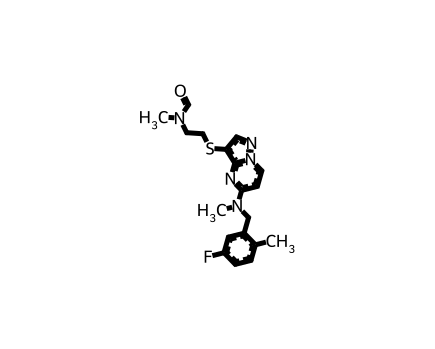 Cc1ccc(F)cc1CN(C)c1ccn2ncc(SCCN(C)C=O)c2n1